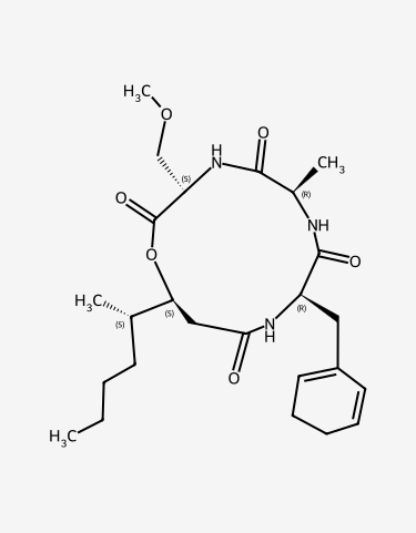 CCCC[C@H](C)[C@@H]1CC(=O)N[C@H](CC2=CCCC=C2)C(=O)N[C@H](C)C(=O)N[C@@H](COC)C(=O)O1